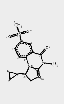 CN1C(=O)c2cc(S(C)(=O)=O)ccc2N2C1=NCC2C1CC1